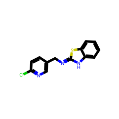 Clc1ccc(C/N=c2/[nH]c3ccccc3s2)cn1